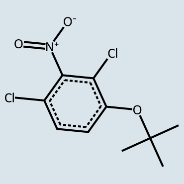 CC(C)(C)Oc1ccc(Cl)c([N+](=O)[O-])c1Cl